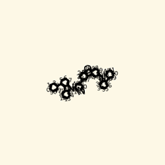 c1ccc(-c2cccc3c2c2ccccc2n3-c2cncc(-c3ccc4oc5ccc(-n6c7ccccc7c7ccccc76)cc5c4c3)c2)cc1